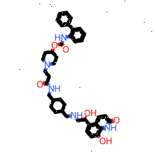 O=C(CCN1CCC(OC(=O)Nc2ccccc2-c2ccccc2)CC1)NCC1CCC(CNC[C@@H](O)c2ccc(O)c3[nH]c(=O)ccc23)CC1